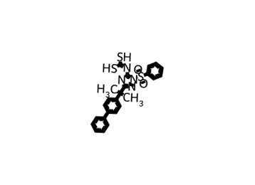 CC(C)(c1ccc(-c2ccccc2)cc1)c1nc(N=C(S)S)n(S(=O)(=O)c2ccccc2)n1